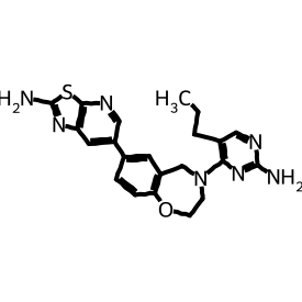 CCCc1cnc(N)nc1N1CCOc2ccc(-c3cnc4sc(N)nc4c3)cc2C1